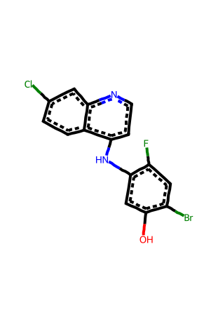 Oc1cc(Nc2ccnc3cc(Cl)ccc23)c(F)cc1Br